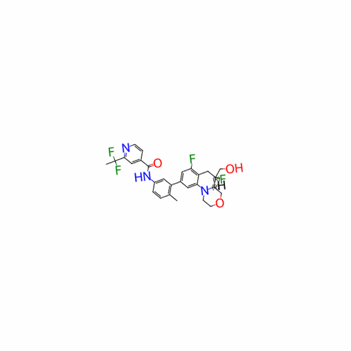 Cc1ccc(NC(=O)c2ccnc(C(C)(F)F)c2)cc1-c1cc(F)c2c(c1)N1CCOC[C@@H]1[C@@](F)(CO)C2